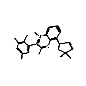 Cc1cc(C)c(C)c(-c2c(C)nc3c(C4CCC(C)(C)C4)cccc3[n+]2C)c1